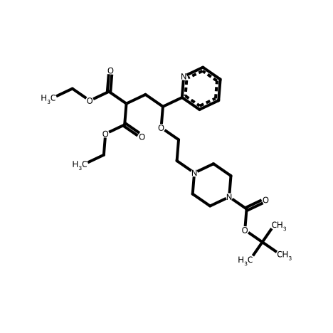 CCOC(=O)C(CC(OCCN1CCN(C(=O)OC(C)(C)C)CC1)c1ccccn1)C(=O)OCC